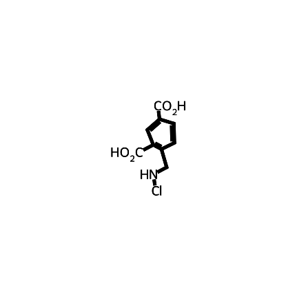 O=C(O)c1ccc(CNCl)c(C(=O)O)c1